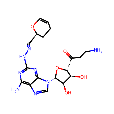 NCCC(=O)[C@H]1O[C@@H](n2cnc3c(N)nc(N/N=C/[C@@H]4CCC=CO4)nc32)[C@H](O)[C@@H]1O